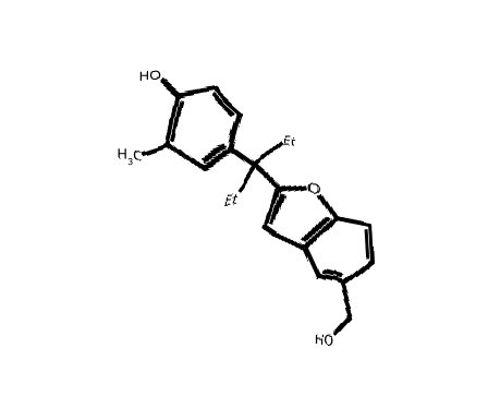 CCC(CC)(c1ccc(O)c(C)c1)c1cc2cc(CO)ccc2o1